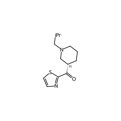 C[C](C)CN1CCC[C@H](C(=O)c2nccs2)C1